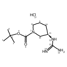 CC(C)(C)OC(=O)N1CCC[C@@H](NC(=N)N)C1.Cl